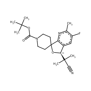 Cc1nc2c(cc1F)[C@@H](C(C)(C)C#N)OC21CCN(C(=O)OC(C)(C)C)CC1